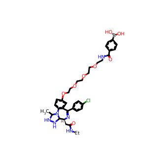 CCNC(=O)C[C@@H]1N=C(c2ccc(Cl)cc2)c2cc(OCCOCCOCCOCCNC(=O)c3ccc(B(O)O)cc3)ccc2N2C(C)NNC12